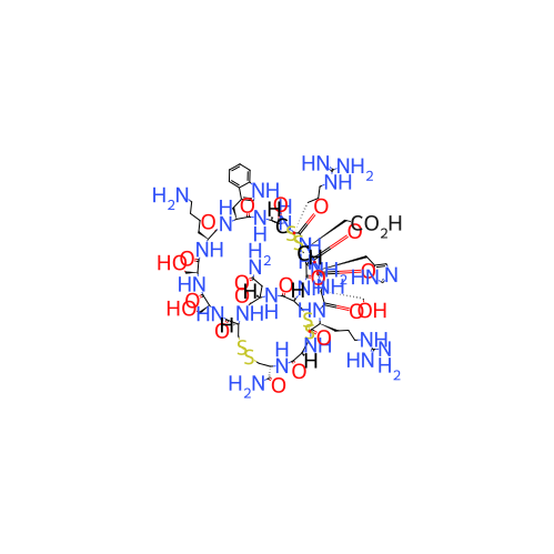 N=C(N)NCCC[C@@H]1NC(=O)[C@H](CO)NC(=O)[C@H](Cc2cnc[nH]2)NC(=O)[C@H](CC(=O)O)NC(=O)[C@H](CCCNC(=N)N)NC(=O)[C@@H]2CSSC[C@H](N)C(=O)N[C@H]3CSSC[C@H](NC1=O)C(=O)N[C@H](C(N)=O)CSSC[C@H](NC(=O)[C@H](CC(N)=O)NC3=O)C(=O)N[C@@H](CO)C(=O)N[C@@H](CO)C(=O)N[C@@H](CCCCN)C(=O)N[C@@H](Cc1c[nH]c3ccccc13)C(=O)N2